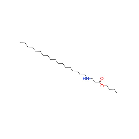 CCCCCCCCCCCCCCCCCCNCCC(=O)OCCCC